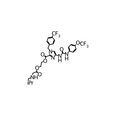 CC(C)CNCC(=O)OCCOC(=O)c1nc(NC(=O)Nc2ccc(OC(F)(F)F)cc2)cn1Cc1ccc(C(F)(F)F)cc1